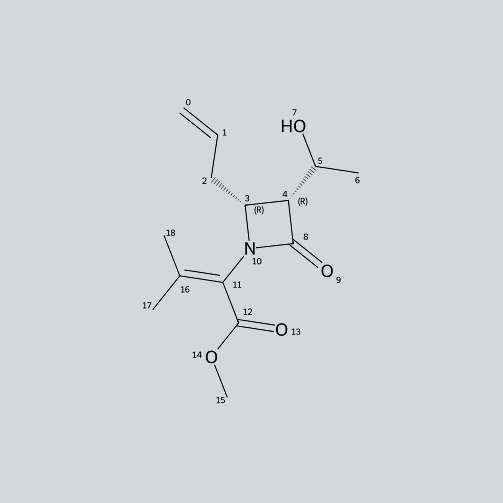 C=CC[C@@H]1[C@H](C(C)O)C(=O)N1C(C(=O)OC)=C(C)C